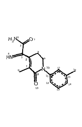 CC1=C(C(=N)C(N)=O)CCN(c2cccc(C)c2)C1=O